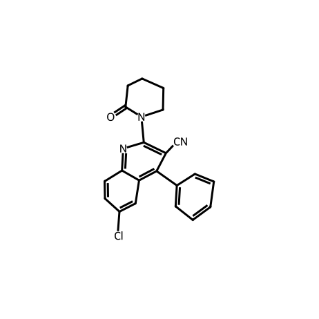 N#Cc1c(N2CCCCC2=O)nc2ccc(Cl)cc2c1-c1ccccc1